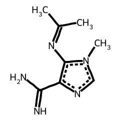 CC(C)=Nc1c(C(=N)N)ncn1C